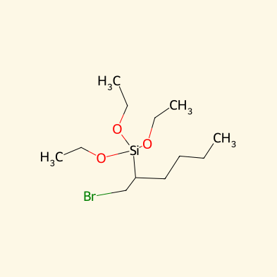 CCCCC(CBr)[Si](OCC)(OCC)OCC